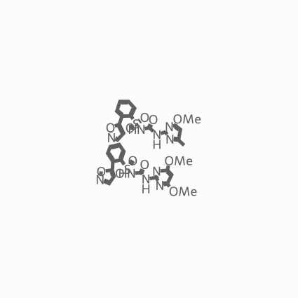 COc1cc(C)nc(NC(=O)NS(=O)(=O)c2ccccc2-c2ccno2)n1.COc1cc(OC)nc(NC(=O)NS(=O)(=O)c2ccccc2-c2ccno2)n1